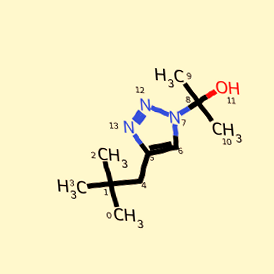 CC(C)(C)Cc1cn(C(C)(C)O)nn1